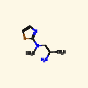 NC(CN(C(=O)O)c1nccs1)C(=O)O